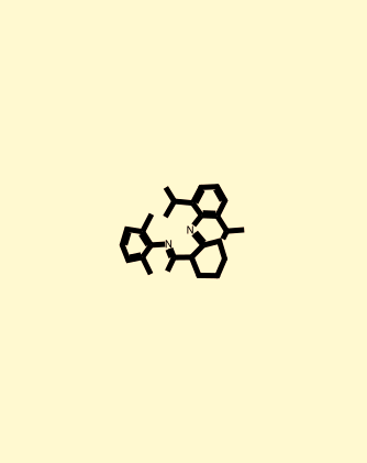 C/C(=N\c1c(C)cccc1C)C1CCCC/C1=N\c1c(C(C)C)cccc1C(C)C